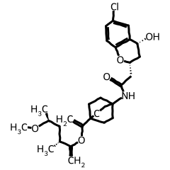 C=C(OC(=C)C12CCC(NC(=O)C[C@H]3C[C@@H](O)c4cc(Cl)ccc4O3)(CC1)CC2)[C@H](C)C[C@H](C)OC